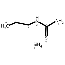 CCCNC(N)=S.[SiH4]